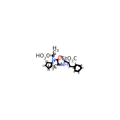 CCOC(=O)C(CCc1ccccc1)N[C@@H](C)C(=O)N(C1CCCC1)[C@@H](C)C(=O)O